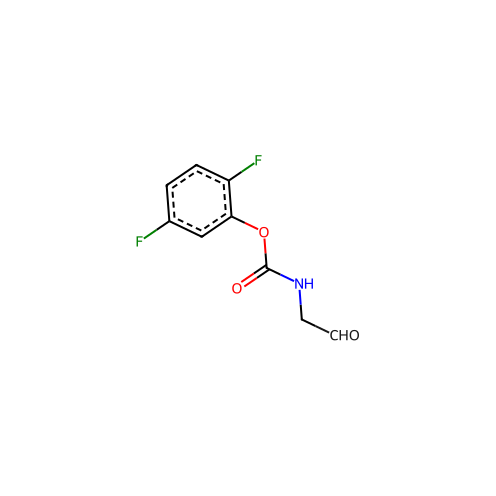 O=CCNC(=O)Oc1cc(F)ccc1F